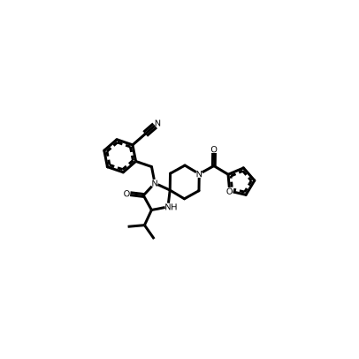 CC(C)C1NC2(CCN(C(=O)c3ccco3)CC2)N(Cc2ccccc2C#N)C1=O